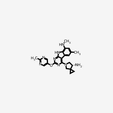 CNc1cc(C)cc2c1[nH]c1nc(Oc3cnc(C)nc3)nc(N3C[C@H](N)C4(CC4)C3)c12